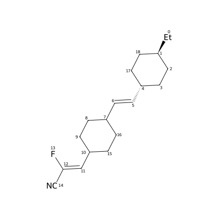 CC[C@H]1CC[C@H](C=CC2CCC(C=C(F)C#N)CC2)CC1